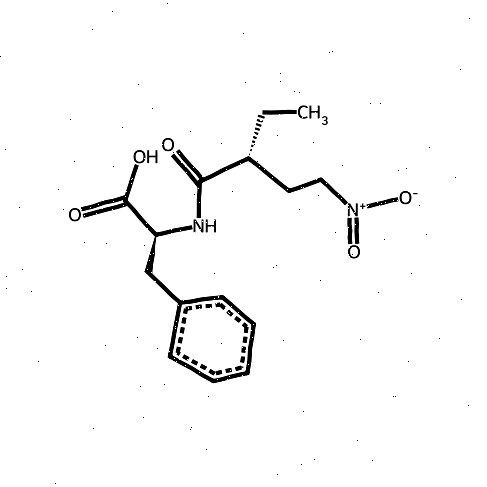 CC[C@H](CC[N+](=O)[O-])C(=O)N[C@@H](Cc1ccccc1)C(=O)O